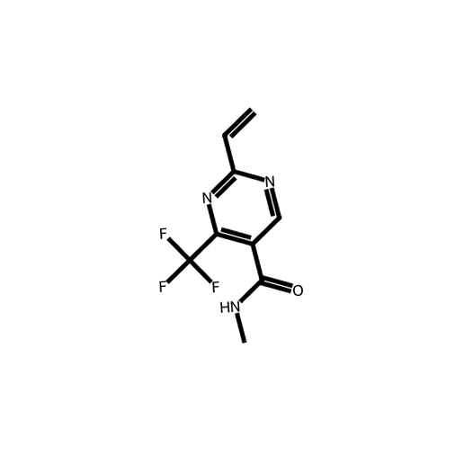 C=Cc1ncc(C(=O)NC)c(C(F)(F)F)n1